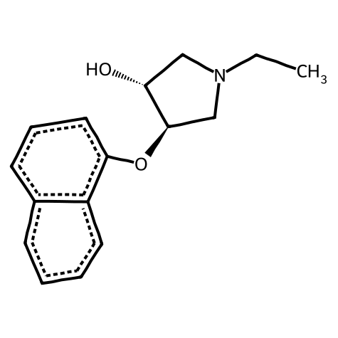 CCN1C[C@@H](O)[C@H](Oc2cccc3ccccc23)C1